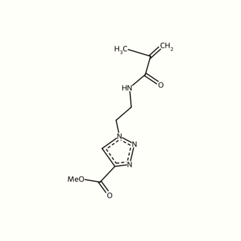 C=C(C)C(=O)NCCn1cc(C(=O)OC)nn1